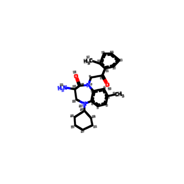 Cc1ccc2c(c1)N(CC(=O)c1ccccc1C)C(=O)C(N)CN2C1CCCCC1